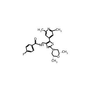 Cc1cc(-c2sc(N3C[C@@H](C)O[C@@H](C)C3)nc2CNC(=O)c2ccc(F)cc2)cc(C)n1